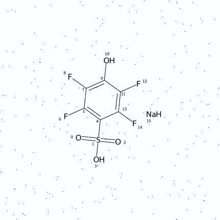 O=S(=O)(O)c1c(F)c(F)c(O)c(F)c1F.[NaH]